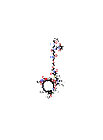 C=CC(=O)NCCN(CCN1C(=O)C=CC1=O)C(=O)CCC(=O)NCCOCCOCCN1C(=O)CC(SC(C)(C)CC(=O)N(C)[C@@H](C)C(=O)O[C@H]2CC(=O)N(C)c3cc(cc(OC)c3Cl)C/C(C)=C/C=C/[C@@H](OC)[C@@]3(O)C[C@H](OC(=O)N3)[C@@H](C)[C@@H]3O[C@@]23C)C1=O